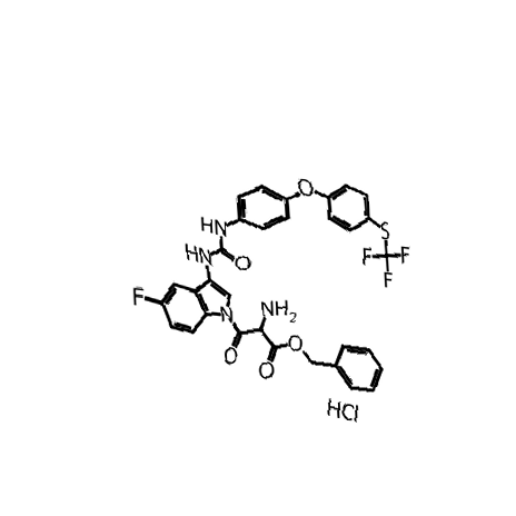 Cl.NC(C(=O)OCc1ccccc1)C(=O)n1cc(NC(=O)Nc2ccc(Oc3ccc(SC(F)(F)F)cc3)cc2)c2cc(F)ccc21